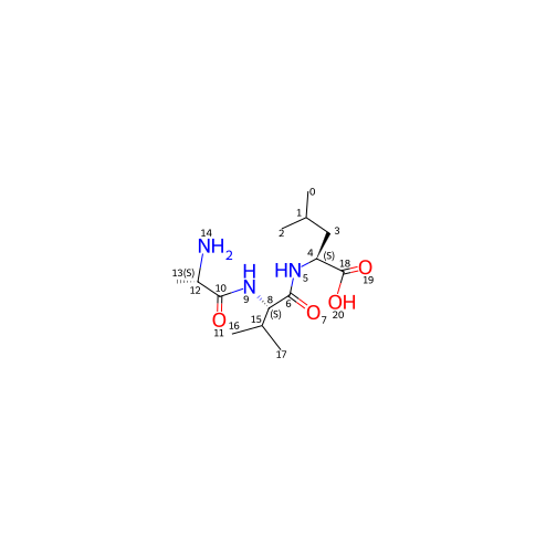 CC(C)C[C@H](NC(=O)[C@@H](NC(=O)[C@H](C)N)C(C)C)C(=O)O